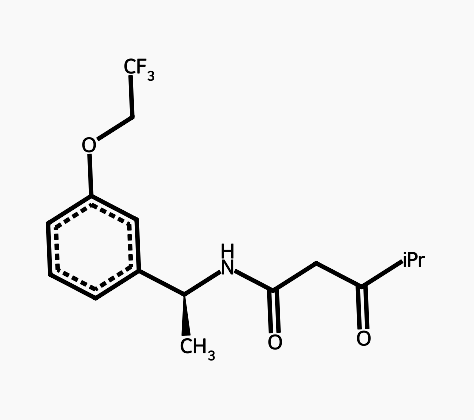 CC(C)C(=O)CC(=O)N[C@@H](C)c1cccc(OCC(F)(F)F)c1